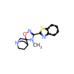 CN1C(c2nc3ccccc3s2)=NOC12CN1CCC2CC1